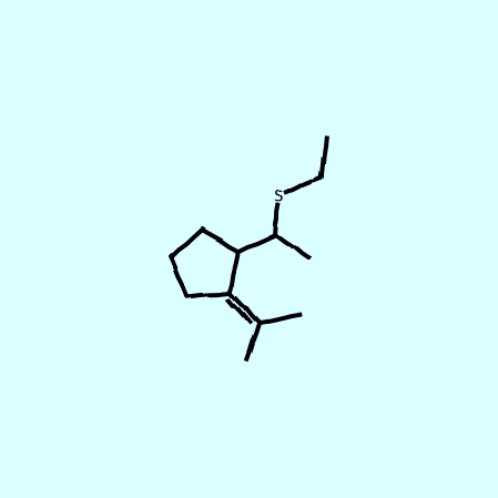 CCSC(C)C1CCCC1=C(C)C